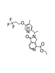 CCOC(=O)c1nccc2c1CN(C(C)C1=CC(C)=C(OCCC(F)(F)F)CN1)C2=O